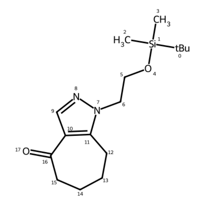 CC(C)(C)[Si](C)(C)OCCn1ncc2c1CCCCC2=O